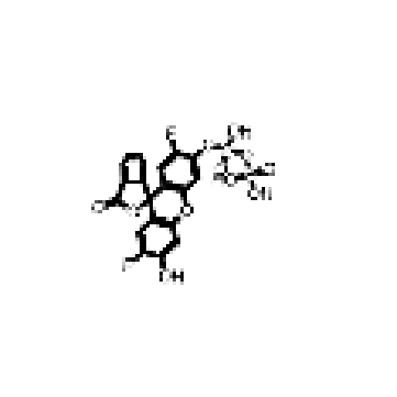 O=C1OC2(c3cc(F)c(O)cc3Oc3cc(OP(=O)(O)OP(=O)(O)O)c(F)cc32)c2ccccc21